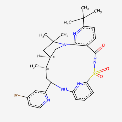 C[C@H]1CC(c2cc(Br)ccn2)Nc2cccc(n2)S(=O)(=O)NC(=O)c2ccc(C(C)(C)C)nc2N2C[C@@H]1CC2(C)C